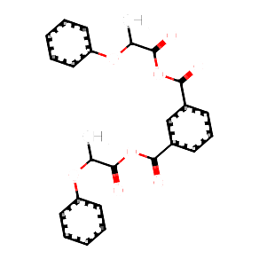 CC(Oc1ccccc1)C(=O)OC(=O)c1cccc(C(=O)OC(=O)C(C)Oc2ccccc2)c1